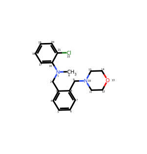 CN(Cc1ccccc1CN1CCOCC1)c1ccccc1Cl